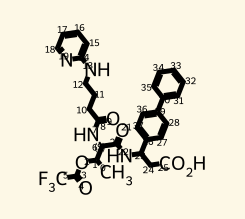 CC(OC(=O)C(F)(F)F)[C@H](NC(=O)CCCNc1ccccn1)C(=O)NC(CC(=O)O)c1ccc(-c2ccccc2)cc1